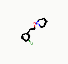 Clc1cccc(CCON2CCCCC2)c1